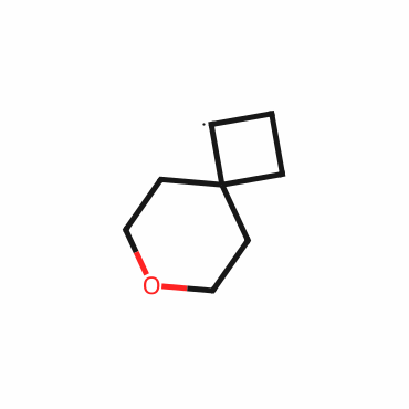 [CH]1CCC12CCOCC2